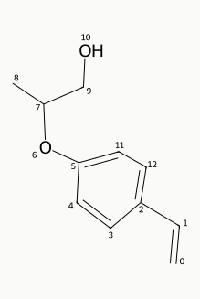 C=Cc1ccc(OC(C)CO)cc1